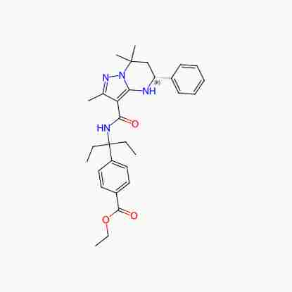 CCOC(=O)c1ccc(C(CC)(CC)NC(=O)c2c(C)nn3c2N[C@@H](c2ccccc2)CC3(C)C)cc1